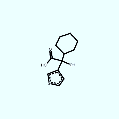 O=C(O)C(O)(c1ccsc1)C1CCCCC1